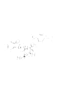 CSc1ccc(C2CC2)cc1COC(=O)NC(Cc1coc2ccccc12)B(O)O